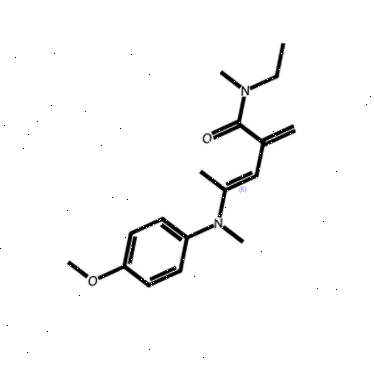 C=C(/C=C(\C)N(C)c1ccc(OC)cc1)C(=O)N(C)CC